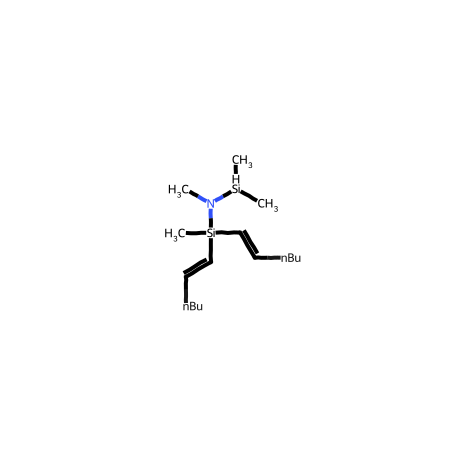 CCCCC=C[Si](C)(C=CCCCC)N(C)[SiH](C)C